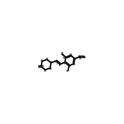 CC(=O)Nc1cc(C)c(/C=C/C2CCNCC2)c(C)c1